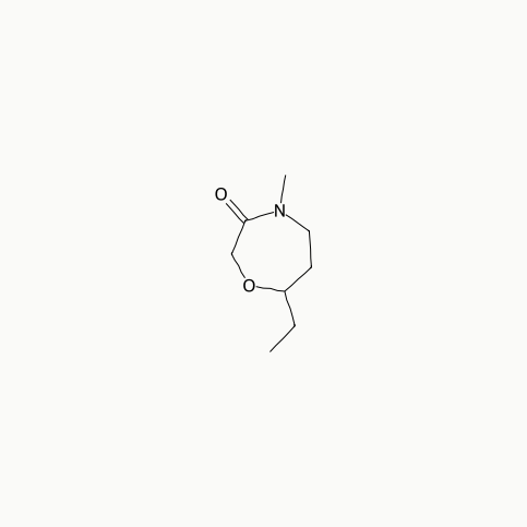 CCC1CCN(C)C(=O)CO1